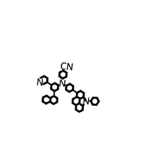 N#Cc1ccc(N(c2ccc(-c3ccc4c5c3ccc3cccc(c35)n4-c3ccccc3)cc2)c2cc(-c3cccnc3)cc(-c3cccc4ccccc34)c2)cc1